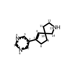 C1=C(c2cncnc2)CCC12CCNC2